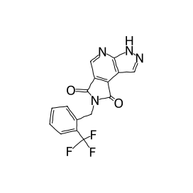 O=C1c2cnc3[nH]ncc3c2C(=O)N1Cc1ccccc1C(F)(F)F